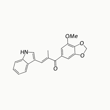 COc1cc(C(=O)/C(C)=C/c2c[nH]c3ccccc23)cc2c1OCO2